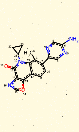 Cc1c(-c2cnc(N)cn2)ccc2c3ocnc3c(=O)n(C3CC3)c12